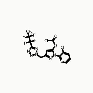 O=C(Cl)Oc1cc(Cn2nnc(C(F)(F)C(F)(F)C(F)(F)F)n2)nn1-c1ncccc1Cl